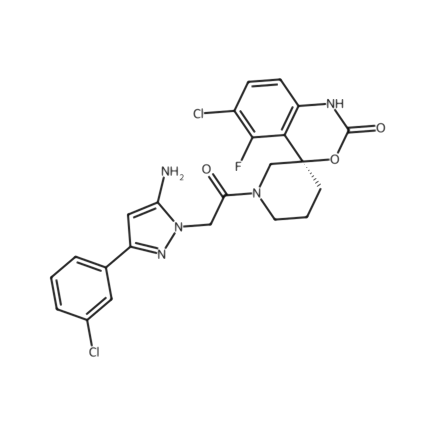 Nc1cc(-c2cccc(Cl)c2)nn1CC(=O)N1CCC[C@@]2(C1)OC(=O)Nc1ccc(Cl)c(F)c12